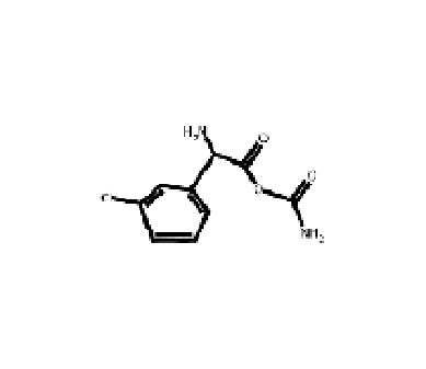 NC(=O)OC(=O)C(N)c1cccc(Cl)c1